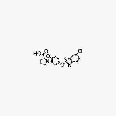 O=C(O)[C@]1(Oc2ccc(Oc3nc4ccc(Cl)cc4s3)cc2)CCCN1